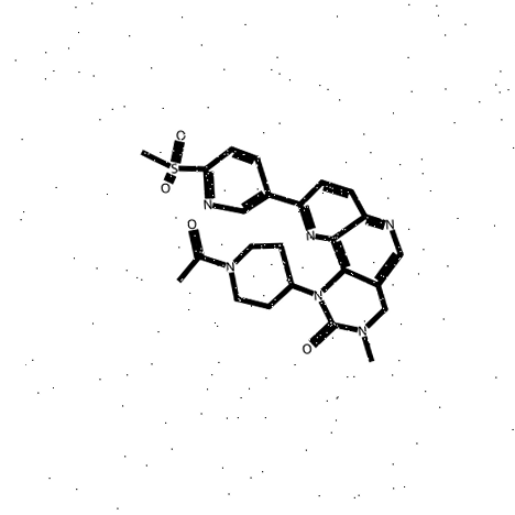 CC(=O)N1CCC(N2C(=O)N(C)Cc3cnc4ccc(-c5ccc(S(C)(=O)=O)nc5)nc4c32)CC1